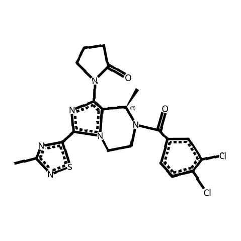 Cc1nsc(-c2nc(N3CCCC3=O)c3n2CCN(C(=O)c2ccc(Cl)c(Cl)c2)[C@@H]3C)n1